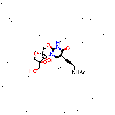 CC(=O)NCC#Cc1cn([C@@H]2O[C@]3(CO)CO[C@H]2C3O)c(=O)[nH]c1=O